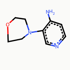 Nc1ccncc1N1CCOCC1